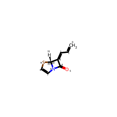 C=CC=C1C(=O)N2C=CS[C@H]12